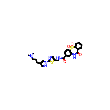 CN(C)CCCc1cnn(-c2ncc(CNC(=O)c3ccc4c(c3)NC(=O)c3ccccc3S4(=O)=O)s2)c1